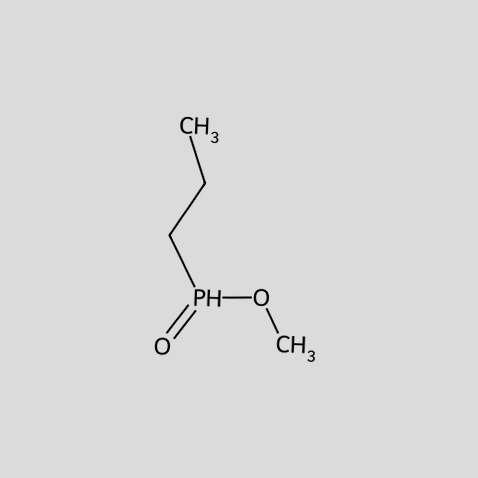 CCC[PH](=O)OC